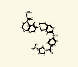 Cc1c(N2CCc3cnc(Nc4ccc(C(=O)N5CC[C@@H](N(C)C)C5)cc4)cc3C2)cnc2c1N(C(=O)OC(C)(C)C)CCO2